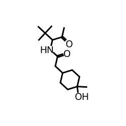 CC(=O)C(NC(=O)CC1CCC(C)(O)CC1)C(C)(C)C